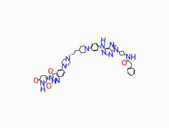 O=C1CC[C@H](n2nnc3ccc(N4CCN(CCCC5CCN(c6ccc(Nc7ncnc8c7ncn8C7CC(NC(=O)Cc8ccccc8)C7)cc6)CC5)CC4)cc3c2=O)C(=O)N1